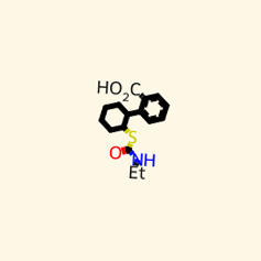 CCNC(=O)SC1CCCCC1c1ccccc1C(=O)O